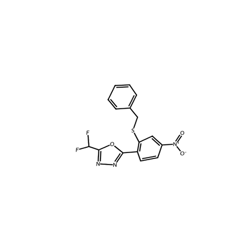 O=[N+]([O-])c1ccc(-c2nnc(C(F)F)o2)c(SCc2ccccc2)c1